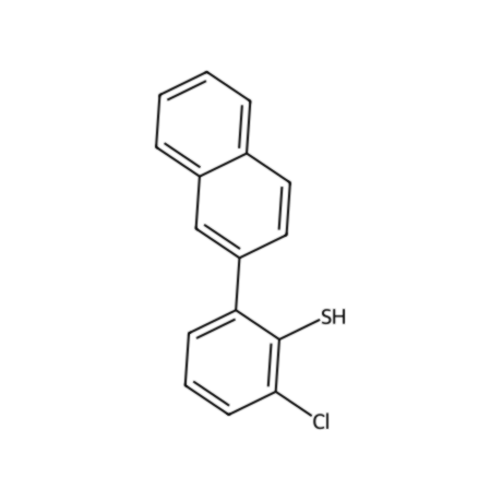 Sc1c(Cl)cccc1-c1ccc2ccccc2c1